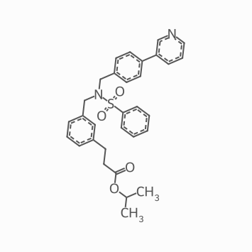 CC(C)OC(=O)CCc1cccc(CN(Cc2ccc(-c3cccnc3)cc2)S(=O)(=O)c2ccccc2)c1